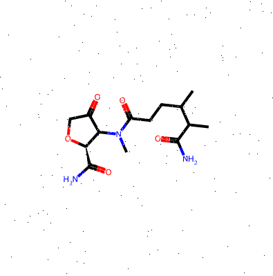 CC(C[CH]C(=O)N(C)C1C(=O)CO[C@@H]1C(N)=O)C(C)C(N)=O